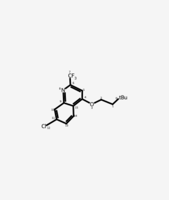 CC(C)(C)CCOc1cc(C(F)(F)F)nc2cc(Cl)ccc12